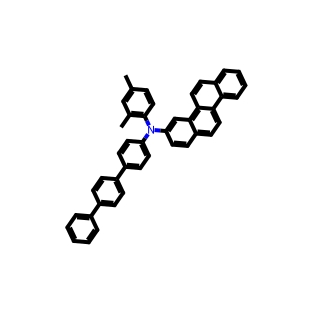 Cc1ccc(N(c2ccc(-c3ccc(-c4ccccc4)cc3)cc2)c2ccc3ccc4c5ccccc5ccc4c3c2)c(C)c1